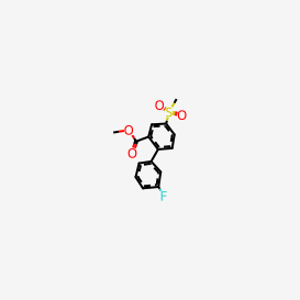 COC(=O)c1cc(S(C)(=O)=O)ccc1-c1cccc(F)c1